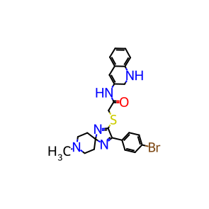 CN1CCC2(CC1)N=C(SCC(=O)NC1=Cc3ccccc3NC1)C(c1ccc(Br)cc1)=N2